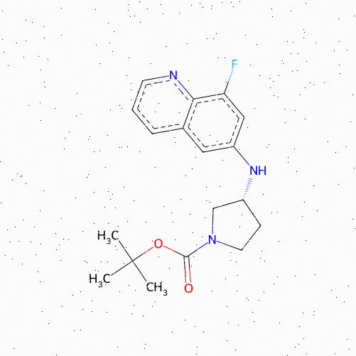 CC(C)(C)OC(=O)N1CC[C@@H](Nc2cc(F)c3ncccc3c2)C1